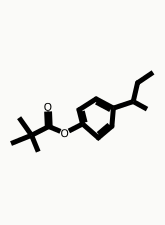 CCC(C)c1ccc(OC(=O)C(C)(C)C)cc1